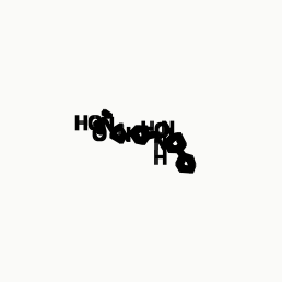 CCN(C(=O)O)C1CCN(c2ccc(C(=O)Nc3cc(-c4ccccc4)ccc3N)cc2)C1